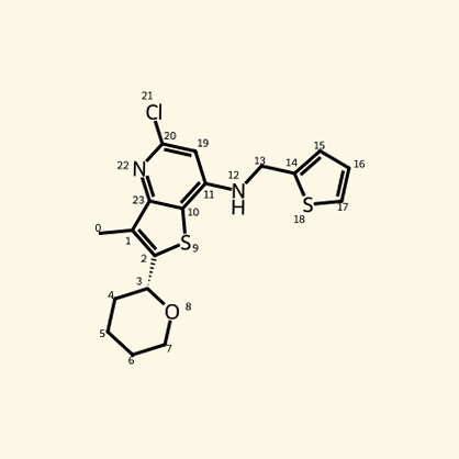 Cc1c([C@H]2CCCCO2)sc2c(NCc3cccs3)cc(Cl)nc12